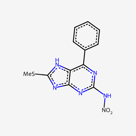 CSc1nc2nc(N[N+](=O)[O-])nc(-c3ccccc3)c2[nH]1